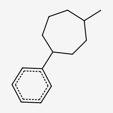 CC1CCCC(c2ccccc2)CC1